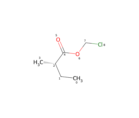 CC[C@H](C)C(=O)OCCl